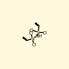 C=C[Si](Cl)(Cl)N[Si](Cl)(Cl)C=C